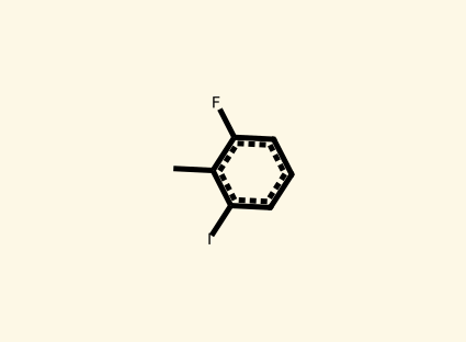 Cc1c(F)cccc1I